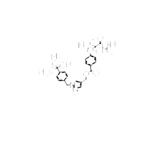 CC(C)(Oc1ccc(C(=O)OCc2cnn(Cc3ccc(C(C)(C)C)cc3)c2)cc1)C(=O)O